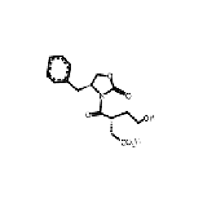 O=C(O)C[C@@H](CCO)C(=O)N1C(=O)OC[C@@H]1Cc1ccccc1